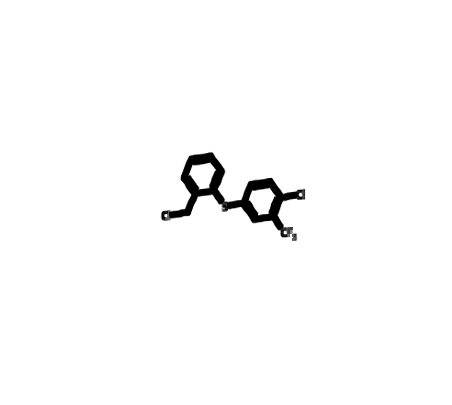 FC(F)(F)c1cc(Sc2ccccc2CCl)ccc1Cl